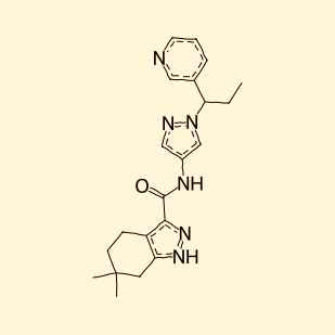 CCC(c1cccnc1)n1cc(NC(=O)c2n[nH]c3c2CCC(C)(C)C3)cn1